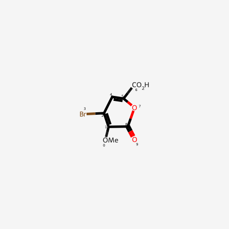 COc1c(Br)cc(C(=O)O)oc1=O